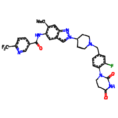 COc1cc2nn(C3CCN(Cc4ccc(N5CCC(=O)NC5=O)c(F)c4)CC3)cc2cc1NC(=O)c1ccc(C(F)(F)F)nc1